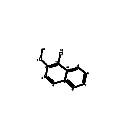 COc1n[c]c2ccccc2c1Cl